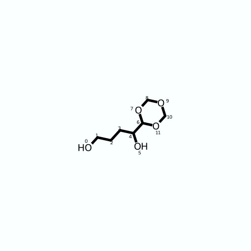 OCCCC(O)C1OCOCO1